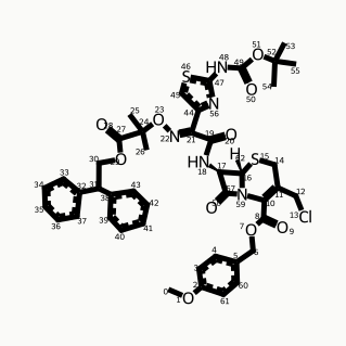 COc1ccc(COC(=O)C2=C(CCl)CS[C@H]3[C@H](NC(=O)C(=NOC(C)(C)C(=O)OCC(c4ccccc4)c4ccccc4)c4csc(NC(=O)OC(C)(C)C)n4)C(=O)N23)cc1